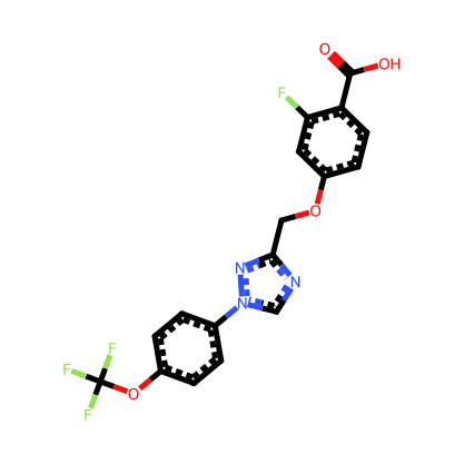 O=C(O)c1ccc(OCc2ncn(-c3ccc(OC(F)(F)F)cc3)n2)cc1F